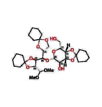 COC(OC)[C@@H]1OC2(CCCCC2)O[C@H]1[C@H](O[C@@H]1O[C@H](CO)[C@@H]2OC3(CCCCC3)O[C@@H]2[C@H]1O)[C@H]1COC2(CCCCC2)O1